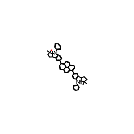 CC1(C)CCC2c3cc(-c4ccc5ccc6c(-c7ccc8c(c7)C7CCC(C)(C)C7(C)N8c7ccccc7)ccc7ccc4c5c76)ccc3N(c3ccccc3)C21C